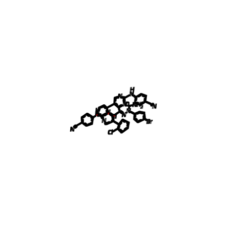 N#Cc1ccc(Nc2ncc(-c3ccccc3Cl)c(C(=NN(C(N)=O)c3ccc(Br)cc3)c3nc(Nc4ccc(C#N)cc4)ncc3-c3ccccc3Cl)n2)cc1